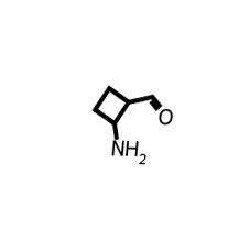 NC1CCC1C=O